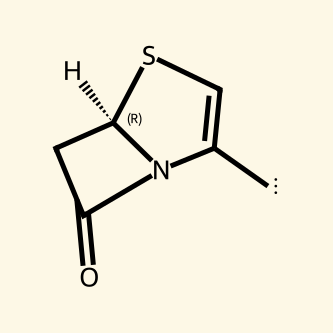 [C]C1=CS[C@@H]2CC(=O)N12